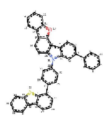 c1ccc(-c2ccc3c4c5oc6ccccc6c5ccc4n(-c4ccc(-c5cccc6c5sc5ccccc56)cc4)c3c2)cc1